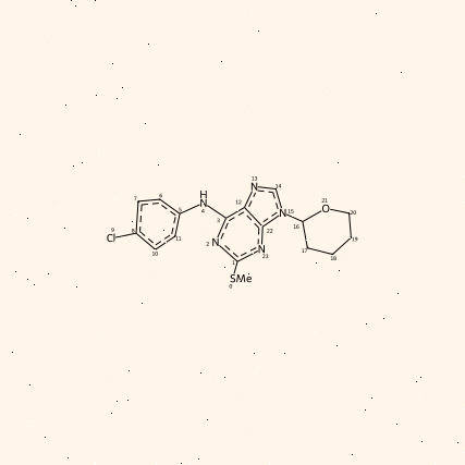 CSc1nc(Nc2ccc(Cl)cc2)c2ncn(C3CCCCO3)c2n1